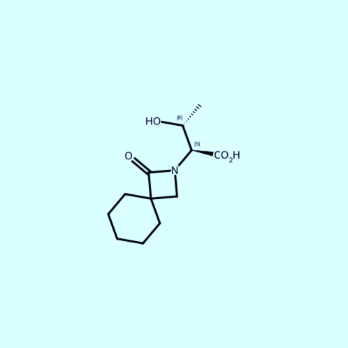 C[C@@H](O)[C@@H](C(=O)O)N1CC2(CCCCC2)C1=O